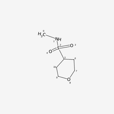 CNS(=O)(=O)C1CCOCC1